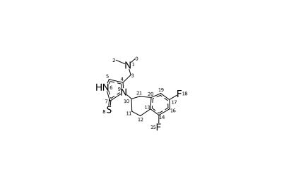 CN(C)Cc1c[nH]c(=S)n1C1CCc2c(F)cc(F)cc2C1